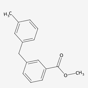 COC(=O)c1cccc(Cc2cccc(C)c2)c1